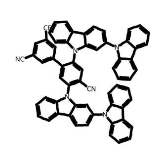 N#Cc1cc(-c2cc(-n3c4ccccc4c4ccc(-n5c6ccccc6c6ccccc65)cc43)c(C#N)cc2-n2c3ccccc3c3ccc(-n4c5ccccc5c5ccccc54)cc32)cc(C(F)(F)F)c1